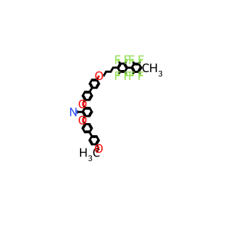 COc1ccc(-c2ccc(Oc3cccc(Oc4ccc(-c5ccc(OCCCCc6c(F)c(F)c(-c7c(F)c(F)c(C)c(F)c7F)c(F)c6F)cc5)cc4)c3C#N)cc2)cc1